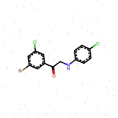 O=C(CNc1ccc(Cl)cc1)c1cc(Cl)cc(Br)c1